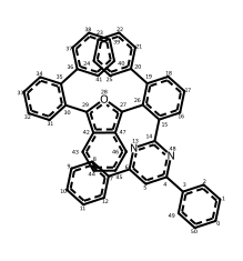 c1ccc(-c2cc(-c3ccccc3)nc(-c3cccc(-c4ccccc4)c3-c3oc(-c4ccccc4-c4ccccc4)c4ccccc34)n2)cc1